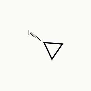 I[C@H]1[CH]C1